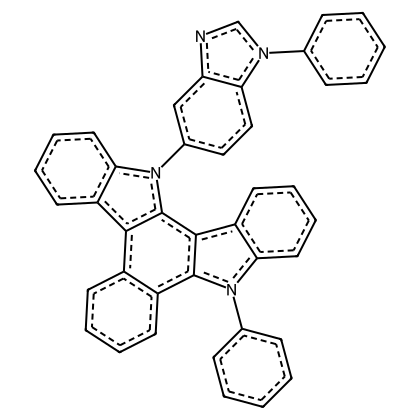 c1ccc(-n2cnc3cc(-n4c5ccccc5c5c6ccccc6c6c(c7ccccc7n6-c6ccccc6)c54)ccc32)cc1